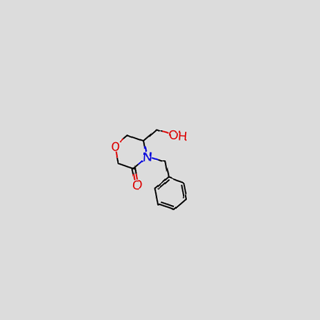 O=C1COCC(CO)N1Cc1ccccc1